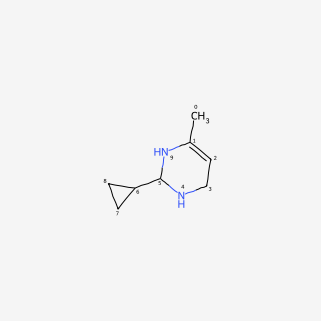 CC1=CCNC(C2CC2)N1